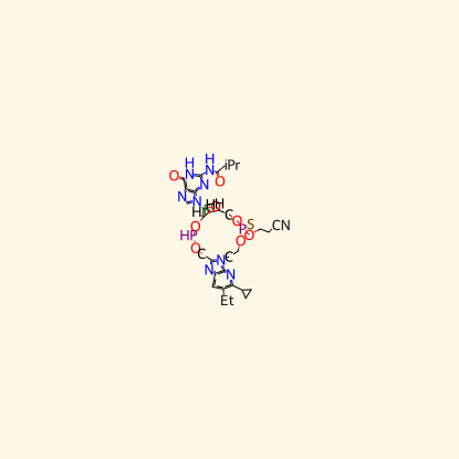 CCc1cc2nc3n(c2nc1C1CC1)CCOP(=S)(OCCC#N)OC[C@H]1O[C@@H](n2cnc4c(=O)[nH]c(NC(=O)C(C)C)nc42)[C@H](OPOC3)[C@@H]1F